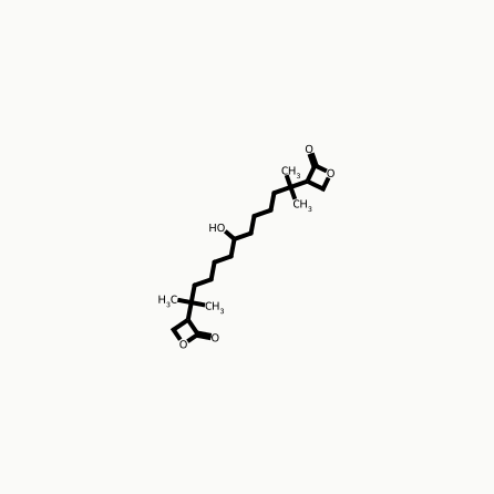 CC(C)(CCCCC(O)CCCCC(C)(C)C1COC1=O)C1COC1=O